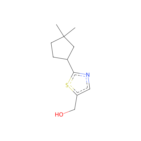 CC1(C)CCC(c2ncc(CO)s2)C1